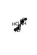 Cl.O=C1O[C@]2(CC[C@H](CNc3ccc(OC4CCCC4)nn3)CC2)CN1c1ccccn1